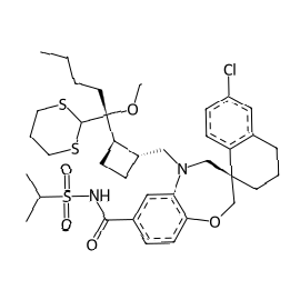 CCCC[C@](OC)(C1SCCCS1)[C@@H]1CC[C@H]1CN1C[C@@]2(CCCc3cc(Cl)ccc32)COc2ccc(C(=O)NS(=O)(=O)C(C)C)cc21